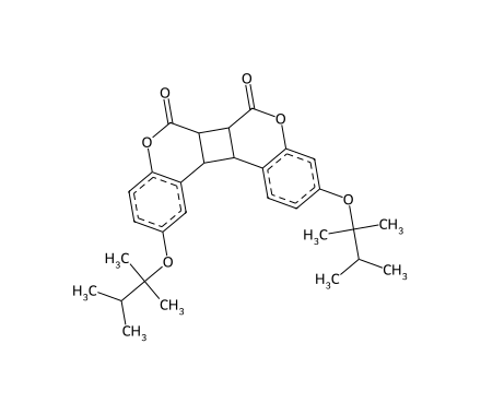 CC(C)C(C)(C)Oc1ccc2c(c1)OC(=O)C1C3C(=O)Oc4ccc(OC(C)(C)C(C)C)cc4C3C21